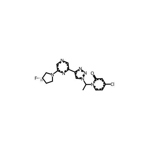 CC(n1cc(-c2cncc(N3CC[C@H](F)C3)n2)nn1)n1ccc(Cl)cc1=O